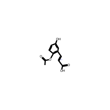 CC(=O)Oc1ccc(O)cc1/C=C/C(=O)O